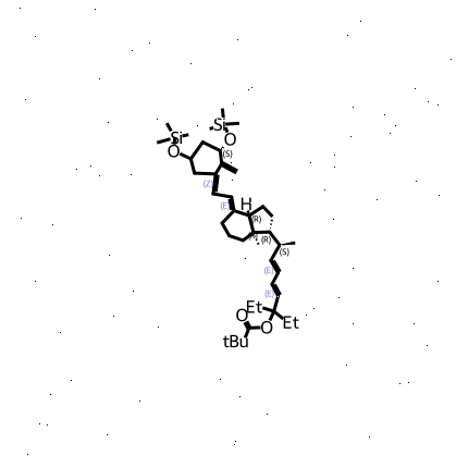 C=C1/C(=C\C=C2/CCC[C@]3(C)[C@@H]([C@@H](C)/C=C/C=C/C(CC)(CC)OC(=O)C(C)(C)C)CC[C@@H]23)CC(O[Si](C)(C)C)C[C@@H]1O[Si](C)(C)C